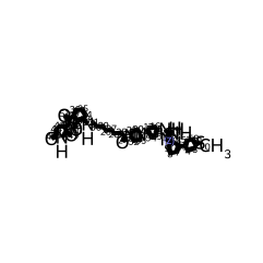 CSc1ccc(-c2ccc/c(=N/C(=N)Nc3ccc(N4CCN(C(=O)CCCCCCCNc5cccc6c5C(=O)N(C5CCC(=O)NC5=O)C6=O)CC4)cc3)[nH]2)cc1